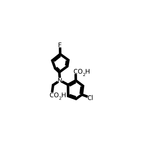 O=C(O)CN(c1ccc(F)cc1)c1ccc(Cl)cc1C(=O)O